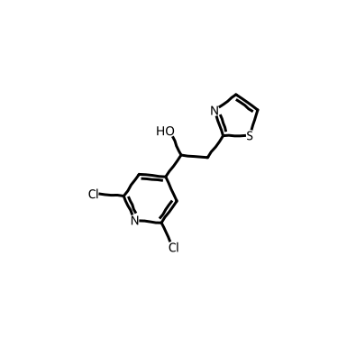 OC(Cc1nccs1)c1cc(Cl)nc(Cl)c1